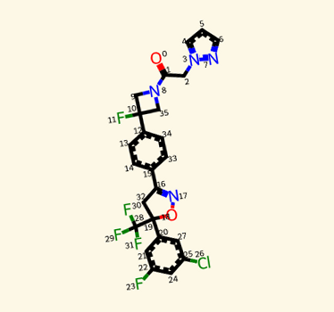 O=C(Cn1cccn1)N1CC(F)(c2ccc(C3=NOC(c4cc(F)cc(Cl)c4)(C(F)(F)F)C3)cc2)C1